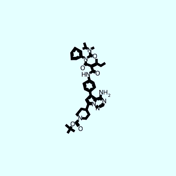 CC/C(C)=C(\C(=O)Nc1ccc(-c2cc(C3CCN(C(=O)OC(C)(C)C)CC3)n3ncnc(N)c23)cc1)C(=O)N(C(=O)N(C)C(C)C)c1ccccc1